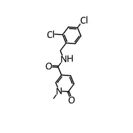 Cn1cc(C(=O)NCc2ccc(Cl)cc2Cl)ccc1=O